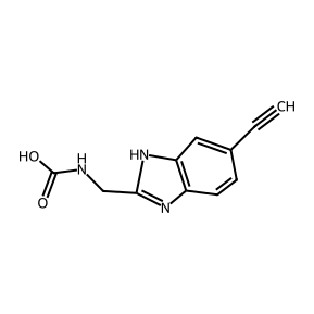 C#Cc1ccc2nc(CNC(=O)O)[nH]c2c1